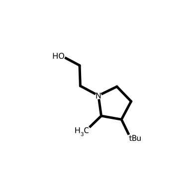 CC1C(C(C)(C)C)CCN1CCO